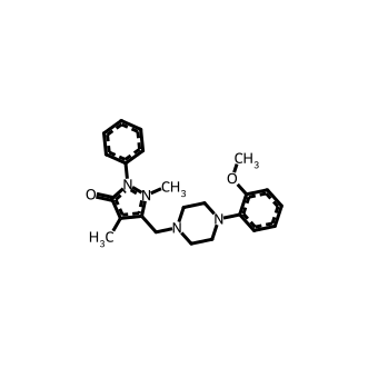 COc1ccccc1N1CCN(Cc2c(C)c(=O)n(-c3ccccc3)n2C)CC1